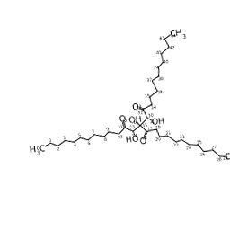 CCCCCCCCCCCC(=O)C(O)C(O)(C(=O)CCCCCCCCCCC)C(O)C(=O)CCCCCCCCCCC